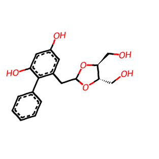 OC[C@@H]1OC(Cc2cc(O)cc(O)c2-c2ccccc2)O[C@H]1CO